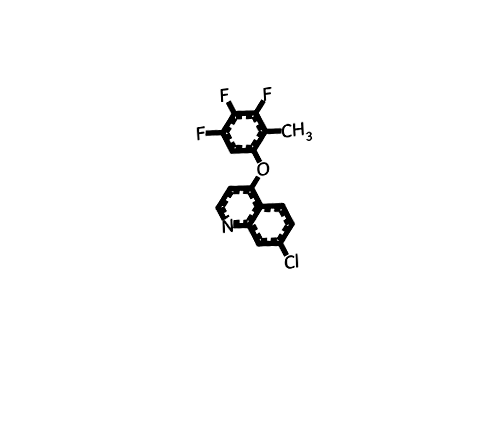 Cc1c(Oc2ccnc3cc(Cl)ccc23)cc(F)c(F)c1F